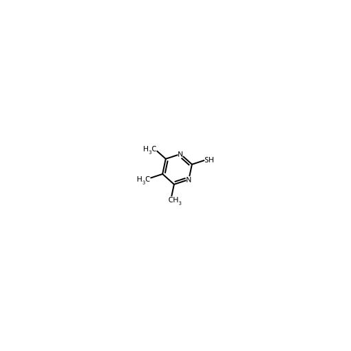 Cc1nc(S)nc(C)c1C